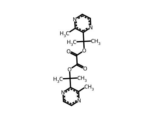 Cc1nccnc1C(C)(C)OC(=O)C(=O)OC(C)(C)c1nccnc1C